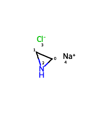 C1CN1.[Cl-].[Na+]